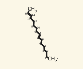 [CH2]CCCCCC/C=C/CCCCC/C=C/C